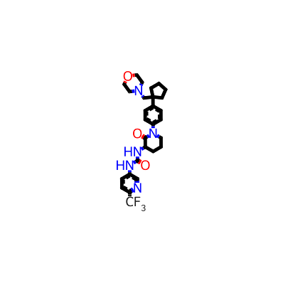 O=C(Nc1ccc(C(F)(F)F)nc1)NC1CCCN(c2ccc(C3(CN4CCOCC4)CCCC3)cc2)C1=O